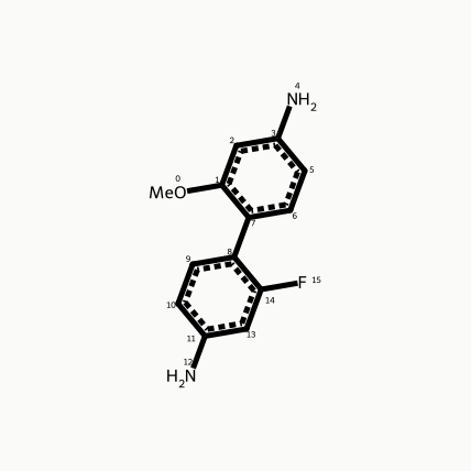 COc1cc(N)ccc1-c1ccc(N)cc1F